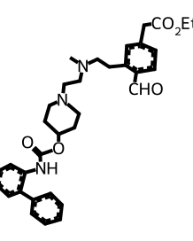 CCOC(=O)Cc1ccc(C=O)c(CCN(C)CCN2CCC(OC(=O)Nc3ccccc3-c3ccccc3)CC2)c1